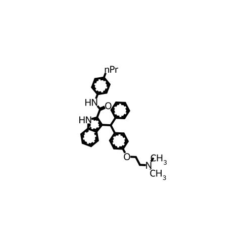 CCCc1ccc(NC(=O)c2[nH]c3ccccc3c2C(c2ccccc2)c2ccc(OCCN(C)C)cc2)cc1